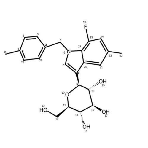 Cc1ccc(Cn2cc([C@@H]3O[C@H](CO)[C@@H](O)[C@H](O)[C@H]3O)c3cc(C)cc(F)c32)cc1